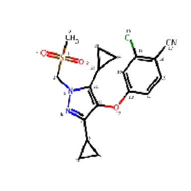 CS(=O)(=O)Cn1nc(C2CC2)c(Oc2ccc(C#N)c(Cl)c2)c1C1CC1